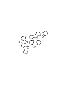 N#Cc1cc(N2c3ccccc3[C@@H]3C=Cc4c(oc5ccccc45)C32)ccc1-c1ccccc1-n1c2ccccc2c2ccc3c4ccccc4oc3c21